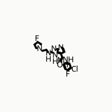 ON=C(Nc1ccc(F)c(Cl)c1)c1ccnc2nc(NCCN3CC[C@H](F)C3)[nH]c12